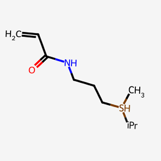 C=CC(=O)NCCC[SH](C)C(C)C